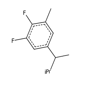 Cc1cc(C(C)C(C)C)cc(F)c1F